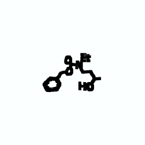 CCN(CCC(C)O)C(=O)OCc1ccccc1